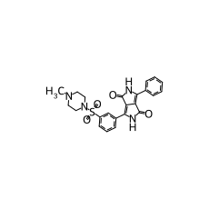 CN1CCN(S(=O)(=O)c2cccc(C3=C4C(=O)NC(c5ccccc5)=C4C(=O)N3)c2)CC1